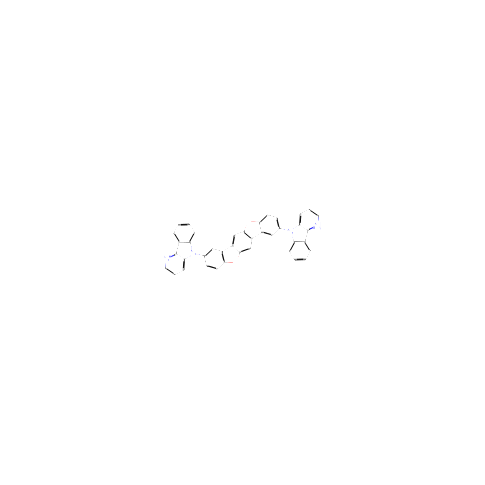 c1ccc2c(c1)c1ncccc1n2-c1ccc2oc3cc4c(cc3c2c1)oc1ccc(-n2c3ccccc3c3ncccc32)cc14